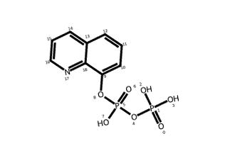 O=P(O)(O)OP(=O)(O)Oc1cccc2cccnc12